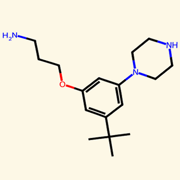 CC(C)(C)c1cc(OCCCN)cc(N2CCNCC2)c1